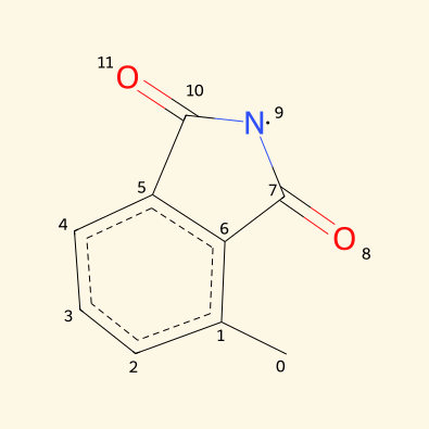 Cc1cccc2c1C(=O)[N]C2=O